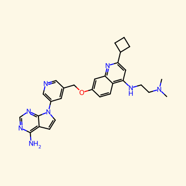 CN(C)CCNc1cc(C2CCC2)nc2cc(OCc3cncc(-n4ccc5c(N)ncnc54)c3)ccc12